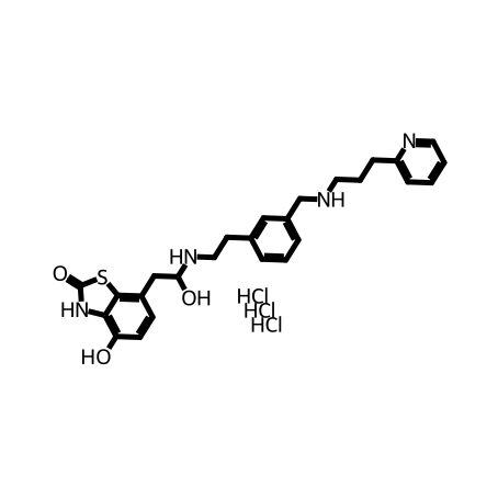 Cl.Cl.Cl.O=c1[nH]c2c(O)ccc(CC(O)NCCc3cccc(CNCCCc4ccccn4)c3)c2s1